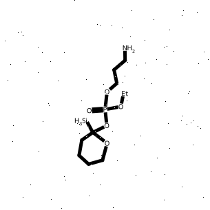 CCOP(=O)(OCCCN)OC1([SiH3])CCCCO1